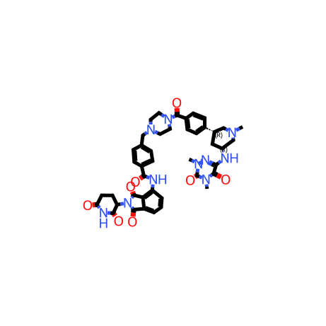 CN1C[C@H](Nc2nn(C)c(=O)n(C)c2=O)C[C@H](c2ccc(C(=O)N3CCN(Cc4ccc(C(=O)Nc5cccc6c5C(=O)N(C5CCC(=O)NC5=O)C6=O)cc4)CC3)cc2)C1